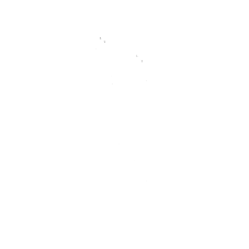 Cc1cccc(Cl)c1S(=O)(=O)Oc1ccc2nc(N)sc2c1